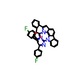 Fc1ccc(-c2cc(-c3ccc(F)cc3)nc(-n3c4ccccc4c4ccc5cc6c7ccccc7c7ccccc7n6c5c43)n2)cc1